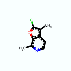 Cc1c(Cl)oc2c(C)nccc12